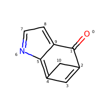 O=C1C2=CC(=C3N=CC=C13)C2